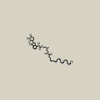 CC/C=C\C/C=C\C/C=C\C/C=C\C/C=C\C/C=C\CCC(=O)NCCN(C)CCOC(=O)Nc1cccc2c1CN(C1CCC(=O)NC1=O)C2=O